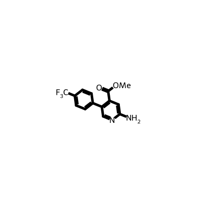 COC(=O)c1cc(N)ncc1-c1ccc(C(F)(F)F)cc1